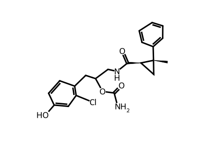 C[C@@]1(c2ccccc2)C[C@H]1C(=O)NCC(Cc1ccc(O)cc1Cl)OC(N)=O